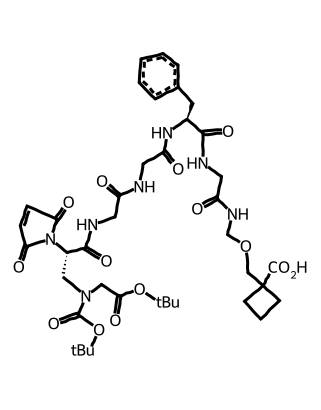 CC(C)(C)OC(=O)CN(C[C@@H](C(=O)NCC(=O)NCC(=O)N[C@@H](Cc1ccccc1)C(=O)NCC(=O)NCOCC1(C(=O)O)CCC1)N1C(=O)C=CC1=O)C(=O)OC(C)(C)C